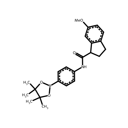 COc1ccc2c(c1)C(C(=O)Nc1ccc(B3OC(C)(C)C(C)(C)O3)cc1)CC2